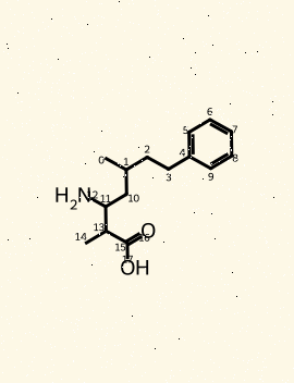 CC(CCc1ccccc1)CC(N)C(C)C(=O)O